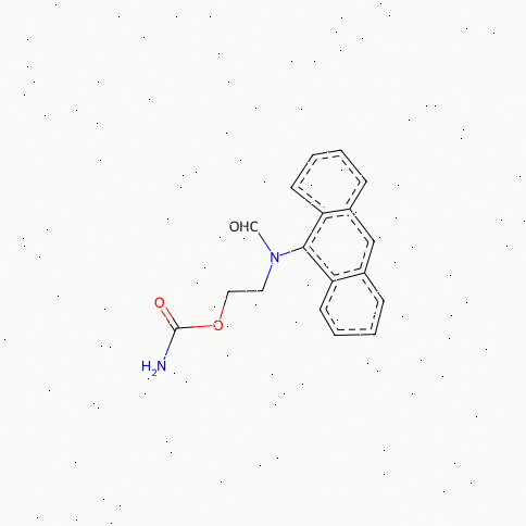 NC(=O)OCCN(C=O)c1c2ccccc2cc2ccccc12